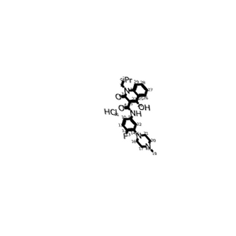 CC(C)Cn1c(=O)c(C(=O)Nc2ccc(F)c(N3CCN(C)CC3)c2)c(O)c2ccccc21.Cl